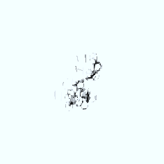 CS(=O)(=O)c1cccc(CC(NC(=O)c2c(Cl)cc(CCP(=O)(O)c3cccc(O)c3)cc2Cl)C(=O)O)c1